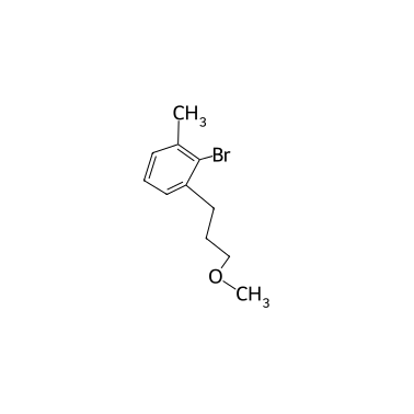 COCCCc1cccc(C)c1Br